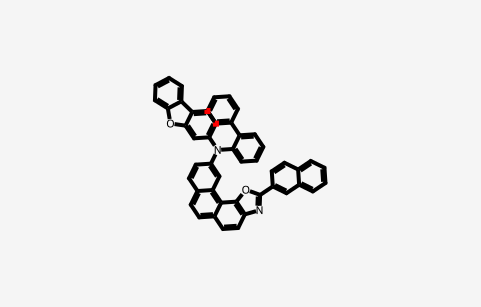 c1ccc(-c2ccccc2N(c2ccc3c(c2)oc2ccccc23)c2ccc3ccc4ccc5nc(-c6ccc7ccccc7c6)oc5c4c3c2)cc1